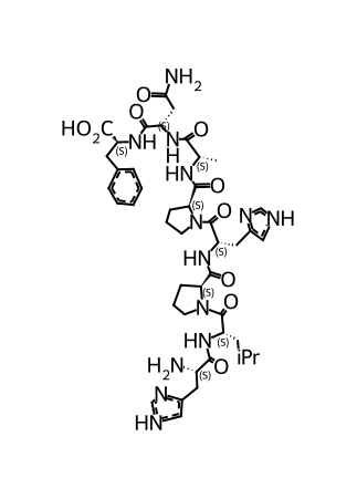 CC(C)C[C@H](NC(=O)[C@@H](N)Cc1c[nH]cn1)C(=O)N1CCC[C@H]1C(=O)N[C@@H](Cc1c[nH]cn1)C(=O)N1CCC[C@H]1C(=O)N[C@@H](C)C(=O)N[C@@H](CC(N)=O)C(=O)N[C@@H](Cc1ccccc1)C(=O)O